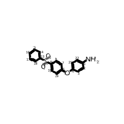 Nc1ccc(Oc2ccc(S(=O)(=O)c3ccccc3)cc2)cc1